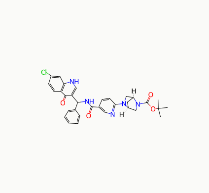 CC(C)(C)OC(=O)N1C[C@@H]2C[C@H]1CN2c1ccc(C(=O)NC(c2ccccc2)c2c[nH]c3cc(Cl)ccc3c2=O)cn1